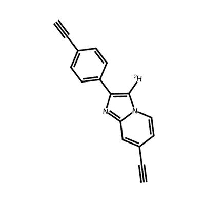 [2H]c1c(-c2ccc(C#C)cc2)nc2cc(C#C)ccn12